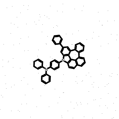 C1=CC(N(c2ccccc2)c2ccc(-n3c4cc(-c5ccccc5)cc5c4c4c6c(cccc6ccc43)-c3ccccc3-5)cc2)=CCC1